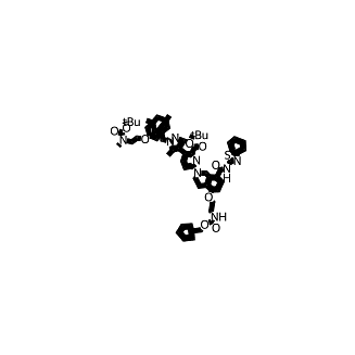 Cc1c(-c2ccc(N3CCc4c(OCCNC(=O)OCc5ccccc5)ccc(C(=O)Nc5nc6ccccc6s5)c4C3)nc2C(=O)OC(C)(C)C)cnn1CC12CC3(C)CC(C)(C1)CC(OCCN(C)C(=O)OC(C)(C)C)(C3)C2